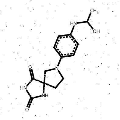 CC(O)Nc1ccc(N2CCC3(C2)NC(=O)NC3=O)cc1